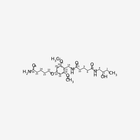 CCC(O)CNC(=O)CCCC(=O)NCc1c(OC)cc(OCCCCC(N)=O)cc1OC